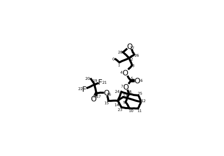 CCC1(COC(=O)OC23CC4CC(CC(COC(=O)C(C)(F)F)(C4)C2)C3)COC1